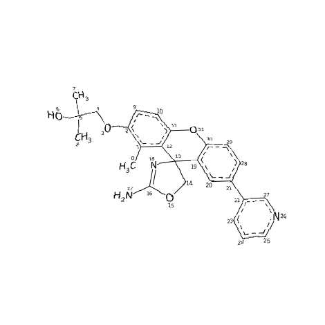 Cc1c(OCC(C)(C)O)ccc2c1C1(COC(N)=N1)c1cc(-c3cccnc3)ccc1O2